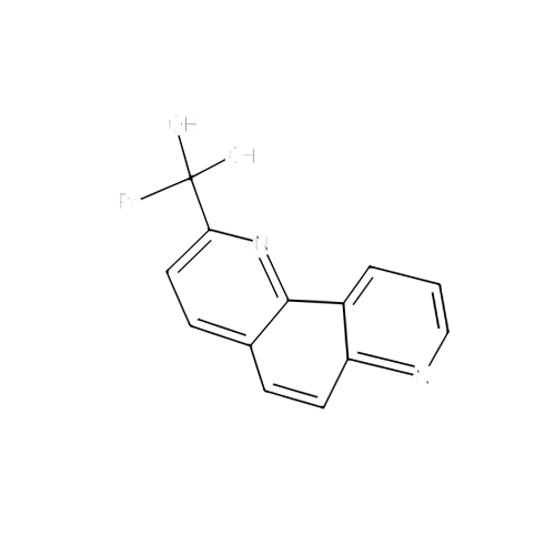 CC(C)C(C)(O)c1ccc2ccc3ncccc3c2n1